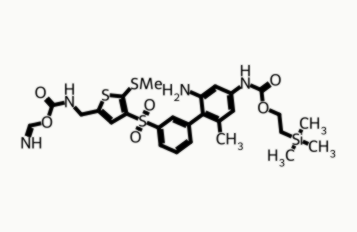 CSc1sc(CNC(=O)OC=N)cc1S(=O)(=O)c1cccc(-c2c(C)cc(NC(=O)OCC[Si](C)(C)C)cc2N)c1